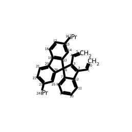 C=CC1=C(C=C)C2(c3ccccc31)c1cc(C(C)C)ccc1-c1ccc(C(C)C)cc12